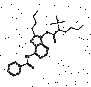 CCCCc1nc2c(NC(=O)c3ccccc3)ncnc2n1OC(=O)N(CCCC)C(C)(C)C